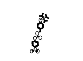 CC(C)[Si](Oc1ccc(COC(=O)Oc2ccc([N+](=O)[O-])cc2)cc1)(C(C)C)C(C)C